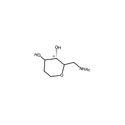 CC(=O)NCC1OCCC(O)[C@@H]1O